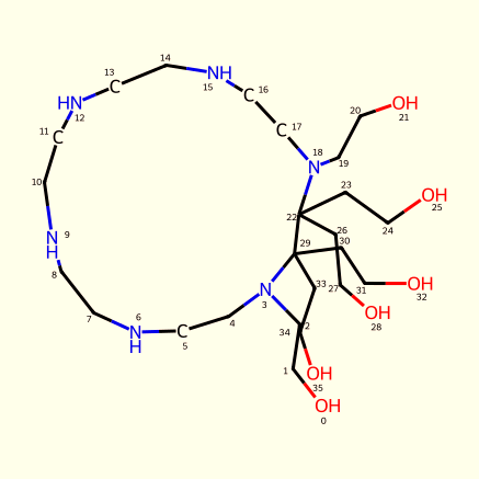 OCCN1CCNCCNCCNCCNCCN(CCO)C(CCO)(CCO)C1(CCO)CCO